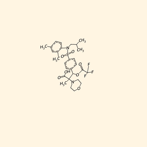 Cc1ccc(N(CC(C)C)S(=O)(=O)c2ccc(C(OC(=O)C(F)(F)F)C(C)(C(=O)O)N3CCOCC3)cc2)c(C)c1